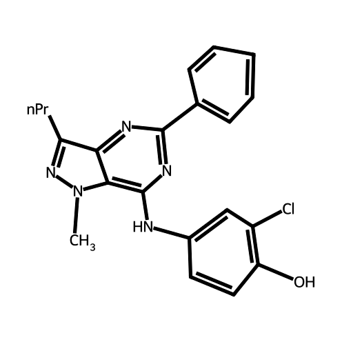 CCCc1nn(C)c2c(Nc3ccc(O)c(Cl)c3)nc(-c3ccccc3)nc12